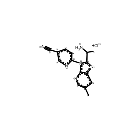 Cc1cnc2c(c1)nc(C(C)N)n2-c1ccc(C#N)cn1.Cl